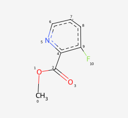 COC(=O)c1nc[c]cc1F